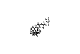 CC(C[C@@H]1CCCN1)NCc1ccc(-c2cccc(S(N)(=O)=O)c2-c2nnn[nH]2)cc1